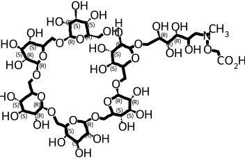 CN(CC(O)[C@@H](O)[C@H](O)[C@H](O)COC1OC(CO[C@@H]2OC(CO[C@@H]3OC(CO[C@@H]4OC(CO[C@@H]5OC(CO[C@@H]6O[C@H](CO)[C@@H](O)[C@H](O)[C@H]6O)[C@@H](O)[C@H](O)[C@H]5O)[C@@H](O)[C@H](O)[C@H]4O)[C@@H](O)[C@H](O)[C@H]3O)[C@@H](O)[C@H](O)[C@H]2O)[C@@H](O)[C@H](O)[C@H]1O)OCC(=O)O